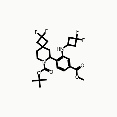 COC(=O)c1ccc(C2CC3(CCN2C(=O)OC(C)(C)C)CC(F)(F)C3)c(NC2CC(F)(F)C2)c1